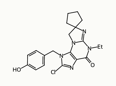 CCN1C(=O)c2nc(Cl)n(Cc3ccc(O)cc3)c2N2CC3(CCCC3)N=C12